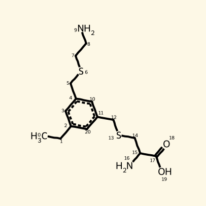 CCc1cc(CSCCN)cc(CSCC(N)C(=O)O)c1